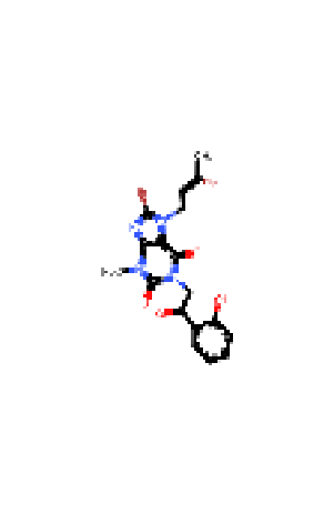 CC(Br)=CCn1c(Br)nc2c1c(=O)n(CC(=O)c1ccccc1O)c(=O)n2C